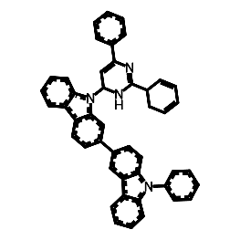 C1=CCC(C2=NC(c3ccccc3)=CC(n3c4ccccc4c4ccc(-c5ccc6c(c5)c5ccccc5n6-c5ccccc5)cc43)N2)C=C1